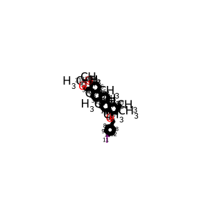 CC1(C)C[C@@H](OCc2ccc(I)cc2)[C@]2(C)CC[C@]3(C)C(=CCC4[C@@]5(C)CC[C@@H]6OC(C)(C)OC[C@]6(C)C5CC[C@]43C)[C@@H]2C1